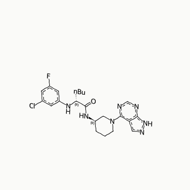 CCCC[C@@H](Nc1cc(F)cc(Cl)c1)C(=O)N[C@@H]1CCCN(c2ncnc3[nH]ncc23)C1